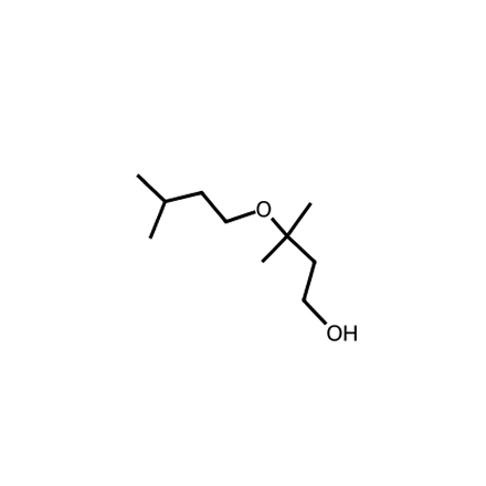 CC(C)CCOC(C)(C)CCO